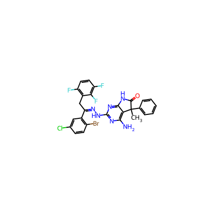 CC1(c2ccccc2)C(=O)Nc2nc(NN=C(Cc3c(F)ccc(F)c3F)c3cc(Cl)ccc3Br)nc(N)c21